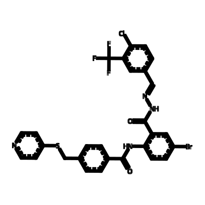 O=C(Nc1ccc(Br)cc1C(=O)NN=Cc1ccc(Cl)c(C(F)(F)F)c1)c1ccc(CSc2ccncc2)cc1